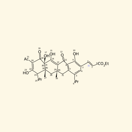 CCOC(=O)/C=C/c1cc(C(C)C)c2c(c1O)C(=O)C1=C(O)[C@@]3(O)C(=O)C(C(C)=O)=C(O)C(C(C)C)[C@@]3(C)C[C@@]1(C)C2